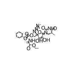 CCOC(=O)[C@H](C)NP(=O)(OC[C@@]1(N=[N+]=[N-])O[C@@H](n2cc(C)c(=O)[nH]c2=O)[C@H](O)[C@@H]1O)Oc1ccccc1